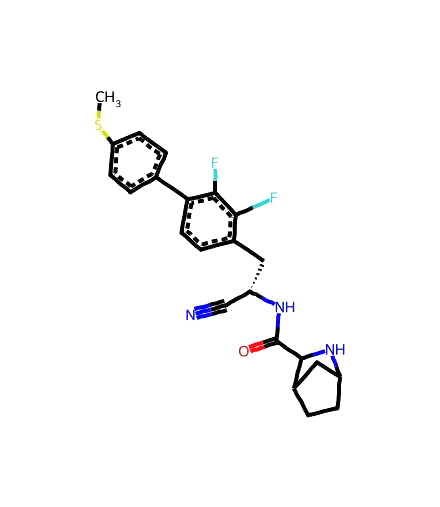 CSc1ccc(-c2ccc(C[C@@H](C#N)NC(=O)C3NC4CCC3C4)c(F)c2F)cc1